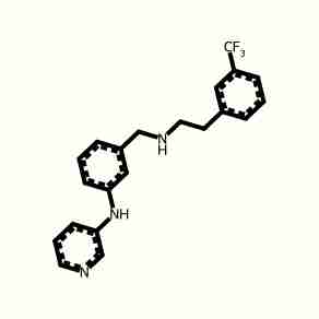 FC(F)(F)c1cccc(CCNCc2cccc(Nc3cccnc3)c2)c1